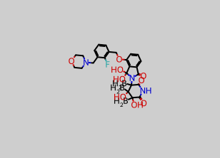 BC1(O)C(=O)NC(=O)C(B)(N2C(=O)c3cccc(OCc4cccc(CN5CCOCC5)c4F)c3C2(O)O)C1(B)O